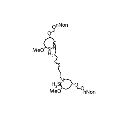 CCCCCCCCCOCOC1CCC(OC)[SiH2]N(CCCSSCCCN2CCC(OCOCCCCCCCCC)CCC(OC)[SiH2]2)CC1